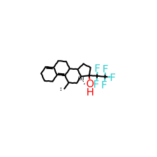 [CH]C1C[C@@]2(C)C(CCC2(O)C(F)(F)C(F)(F)F)C2CCC3=CCCCC3=C12